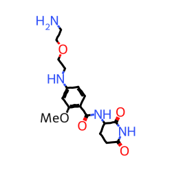 COc1cc(NCCOCCN)ccc1C(=O)NC1CCC(=O)NC1=O